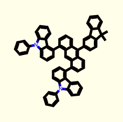 CC1(C)c2ccccc2-c2cc(-c3c4cccc(-c5cccc6c5c5ccccc5n6-c5ccccc5)c4cc4c(-c5cccc6c5c5ccccc5n6-c5ccccc5)cccc34)ccc21